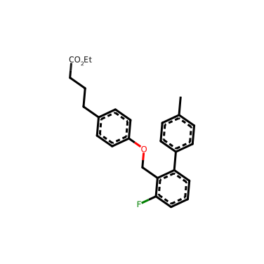 CCOC(=O)CCCc1ccc(OCc2c(F)cccc2-c2ccc(C)cc2)cc1